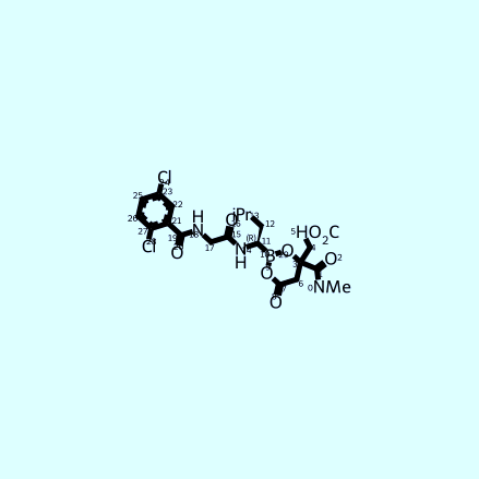 CNC(=O)C1(CC(=O)O)CC(=O)OB([C@H](CC(C)C)NC(=O)CNC(=O)c2cc(Cl)ccc2Cl)O1